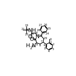 Cc1ccccc1C1CC(N)C(=O)N(CC(=O)NC(C)(C)C)C(c2ccccc2)C1